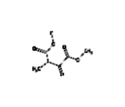 COC(=O)C(=O)C(C)C(=O)OCl